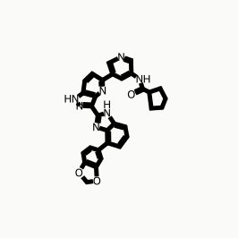 O=C(Nc1cncc(-c2ccc3[nH]nc(-c4nc5c(-c6ccc7c(c6)OCO7)cccc5[nH]4)c3n2)c1)C1CCCC1